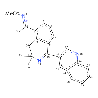 CO/N=C(\C)c1cccc2c1CC(C)(C)N=C2c1cnc2ccccc2c1